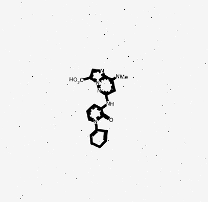 CNc1cc(Nc2cccn(C3=CCCC=C3)c2=O)nn2c(C(=O)O)cnc12